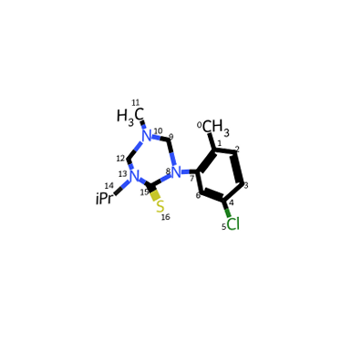 Cc1ccc(Cl)cc1N1CN(C)CN(C(C)C)C1=S